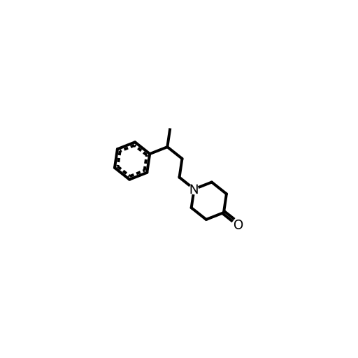 CC(CCN1CCC(=O)CC1)c1ccccc1